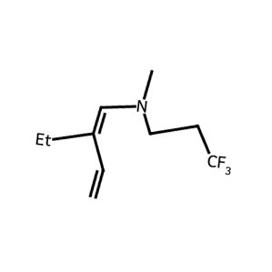 C=C/C(=C\N(C)CCC(F)(F)F)CC